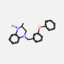 CC(=O)N1c2ccccc2N(Cc2cccc(Oc3ccccc3)c2)CC1C